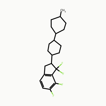 CC1CCC(C2CCC(C3Cc4ccc(F)c(F)c4C3(F)F)CC2)CC1